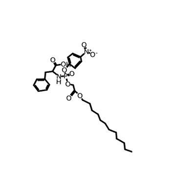 CCCCCCCCCCCCOC(=O)COP(=O)(NC(Cc1ccccc1)C(=O)O)Oc1ccc([N+](=O)[O-])cc1